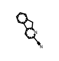 N#Cc1ccc2c(n1)Cc1ccccc1-2